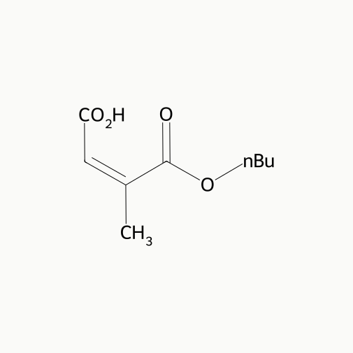 CCCCOC(=O)/C(C)=C\C(=O)O